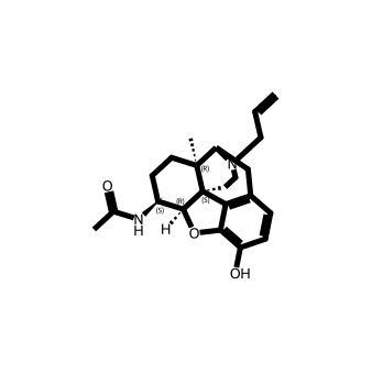 C=CCN1CC[C@]23c4c5ccc(O)c4O[C@H]2[C@@H](NC(C)=O)CC[C@@]3(C)C1C5